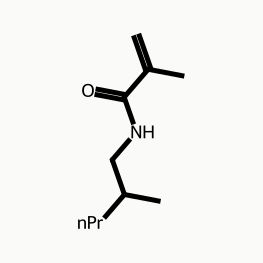 C=C(C)C(=O)NCC(C)CCC